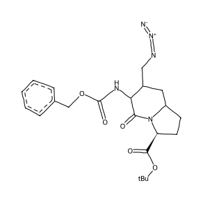 CC(C)(C)OC(=O)[C@@H]1CCC2CC(CN=[N+]=[N-])C(NC(=O)OCc3ccccc3)C(=O)N21